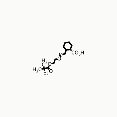 CCC(C)(C)C(=O)OCCOOCC1CCCCC1C(=O)O